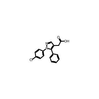 O=C(O)Cc1cnn(-c2ccc(Cl)cc2)c1-c1ccccc1